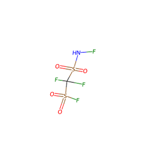 O=S(=O)(F)C(F)(F)S(=O)(=O)NF